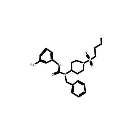 O=C(Nc1cccc(C(F)(F)F)c1)N(Cc1ccccc1)C1CCN(S(=O)(=O)CCCI)CC1